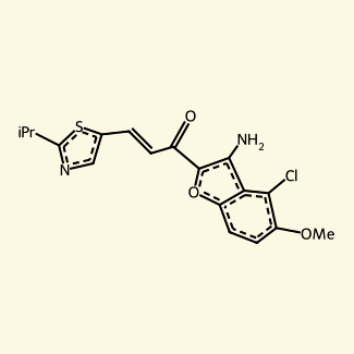 COc1ccc2oc(C(=O)/C=C/c3cnc(C(C)C)s3)c(N)c2c1Cl